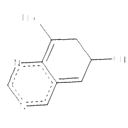 CC1=c2ncncc2=CC(C)C1